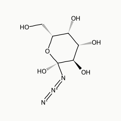 [N-]=[N+]=N[C@@]1(O)O[C@H](CO)[C@H](O)[C@H](O)[C@H]1O